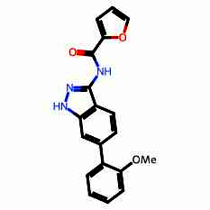 COc1ccccc1-c1ccc2c(NC(=O)c3ccco3)n[nH]c2c1